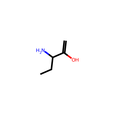 C=C(O)C(N)CC